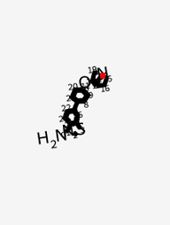 NN1CSc2cc(-c3ccc(OC4CN5CCC4CC5)cc3)ccc21